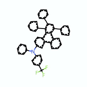 FC(F)(F)c1ccc(N(c2ccccc2)c2ccc3c(c2)c2ccccc2c2c(-c4ccccc4)cc(-c4ccccc4)c(-c4ccccc4)c32)cc1